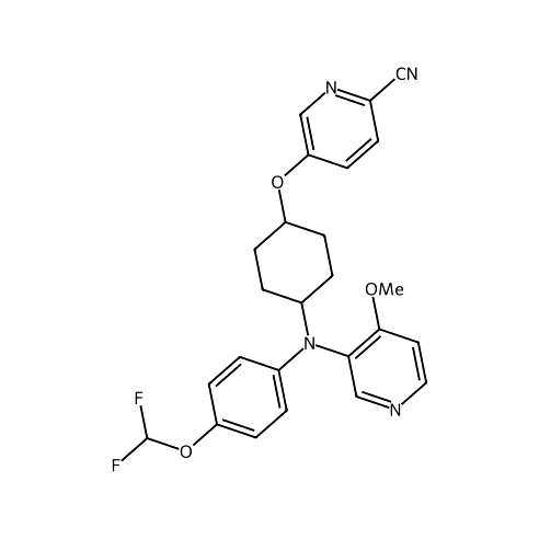 COc1ccncc1N(c1ccc(OC(F)F)cc1)C1CCC(Oc2ccc(C#N)nc2)CC1